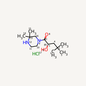 CC(C)(C)C[C@@H](O)C(=O)N1CCNC(C)(C)C1.Cl